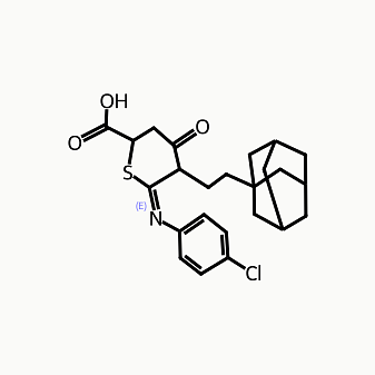 O=C(O)C1CC(=O)C(CCC23CC4CC(CC(C4)C2)C3)/C(=N\c2ccc(Cl)cc2)S1